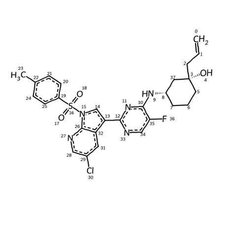 C=CC[C@@]1(O)CCC[C@H](Nc2nc(-c3cn(S(=O)(=O)c4ccc(C)cc4)c4ncc(Cl)cc34)ncc2F)C1